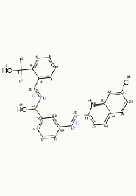 CC(C)(O)c1ccccc1/C=C/C(O)c1cccc(/C=C/c2ccc3ccc(Cl)cc3n2)c1